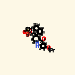 CC(C)Oc1cccc(C(=O)C2CC(CCOS(C)(=O)=O)(c3cccc4ccccc34)CCCN2)c1